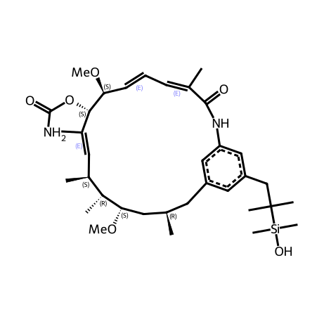 CO[C@H]1/C=C/C=C(\C)C(=O)Nc2cc(cc(CC(C)(C)[Si](C)(C)O)c2)C[C@@H](C)C[C@H](OC)[C@H](C)[C@@H](C)/C=C(\C)[C@@H]1OC(N)=O